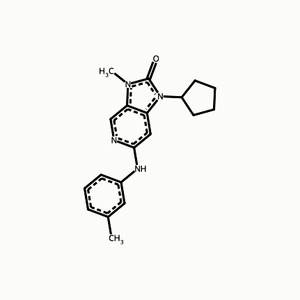 Cc1cccc(Nc2cc3c(cn2)n(C)c(=O)n3C2CCCC2)c1